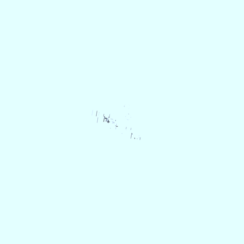 O.O=C([O-])O.O=C([O-])O.[Na+].[Na+]